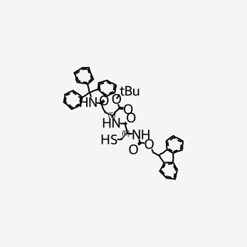 CC(C)(C)OC(=O)[C@H](CC(=O)NC(c1ccccc1)(c1ccccc1)c1ccccc1)NC(=O)[C@H](CS)NC(=O)OCC1c2ccccc2-c2ccccc21